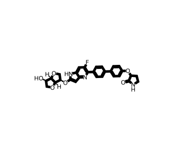 O=C1NCCC1Oc1ccc(-c2ccc(-c3nc4cc(O[C@@H]5CO[C@H]6[C@@H]5OC[C@H]6O)[nH]c4cc3F)cc2)cc1